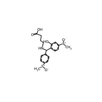 C[S+]([O-])c1ccc(C(NCCCC(=O)O)c2ccc([S+](C)[O-])cc2O)cc1